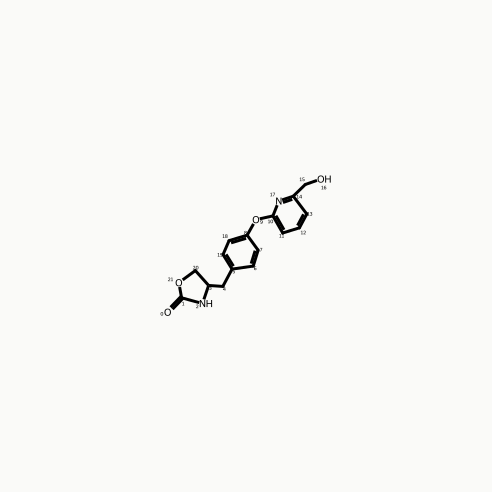 O=C1NC(Cc2ccc(Oc3cccc(CO)n3)cc2)CO1